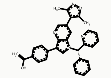 C=C(O)c1ccc(-c2cn([C@@H](c3ccccc3)c3ccccn3)c3cc(-c4c(C)noc4C)cnc23)cc1